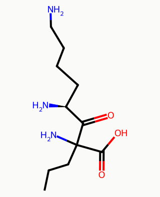 CCCC(N)(C(=O)O)C(=O)[C@@H](N)CCCCN